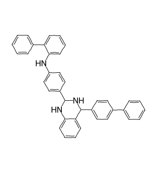 c1ccc(-c2ccc(C3NC(c4ccc(Nc5ccccc5-c5ccccc5)cc4)Nc4ccccc43)cc2)cc1